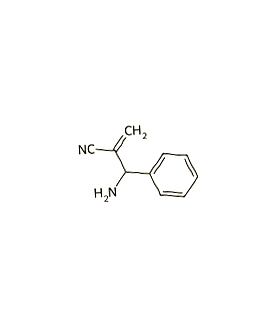 C=C(C#N)C(N)c1ccccc1